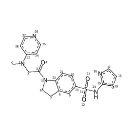 CN(CC(=O)N1CCc2cc(S(=O)(=O)Nc3nccs3)ccc21)c1ccncc1